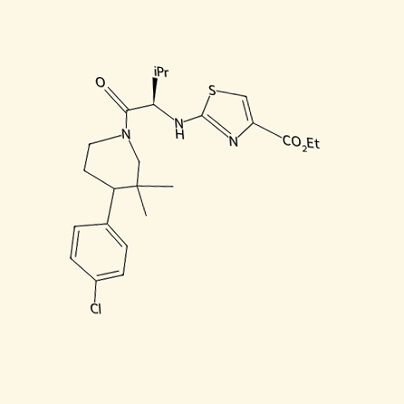 CCOC(=O)c1csc(N[C@@H](C(=O)N2CCC(c3ccc(Cl)cc3)C(C)(C)C2)C(C)C)n1